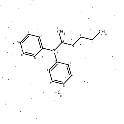 CCCCC(C)P(c1ccccc1)c1ccccc1.Cl